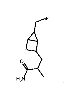 CC(C)CC1C2CC(CC(C)C(N)=O)C12